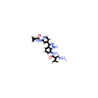 CC(C)=C(CN)C(=O)Nc1cccc2c(-c3ccnc(NC(=O)C4CC4)c3)n[nH]c12